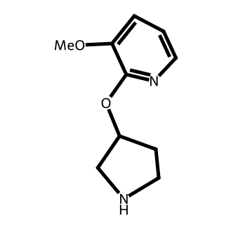 COc1cccnc1OC1CCNC1